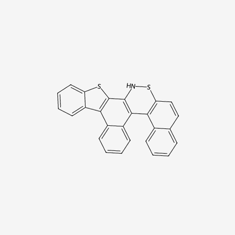 c1ccc2c3c(ccc2c1)SNc1c-3c2ccccc2c2c1sc1ccccc12